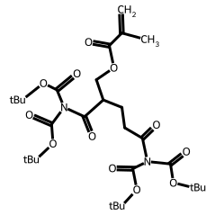 C=C(C)C(=O)OCC(CCC(=O)N(C(=O)OC(C)(C)C)C(=O)OC(C)(C)C)C(=O)N(C(=O)OC(C)(C)C)C(=O)OC(C)(C)C